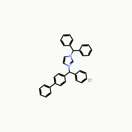 [Cl-].c1ccc(-c2ccc(C(c3ccccc3)[n+]3ccn(C(c4ccccc4)c4ccccc4)c3)cc2)cc1